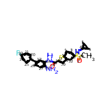 CS(=O)(=NC1CC1)c1ccc2sc(C(=O)Nc3cc(-c4ccc(F)cc4)ccc3N)cc2c1